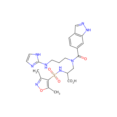 Cc1noc(C)c1S(=O)(=O)NC(CN(CCCNc1ncc[nH]1)C(=O)c1ccc2cn[nH]c2c1)C(=O)O